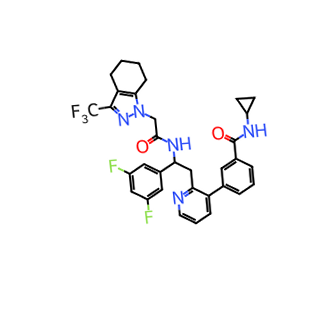 O=C(Cn1nc(C(F)(F)F)c2c1CCCC2)NC(Cc1ncccc1-c1cccc(C(=O)NC2CC2)c1)c1cc(F)cc(F)c1